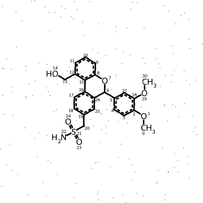 COc1ccc(C2Oc3cccc(CO)c3-c3ccc(CS(N)(=O)=O)cc32)cc1OC